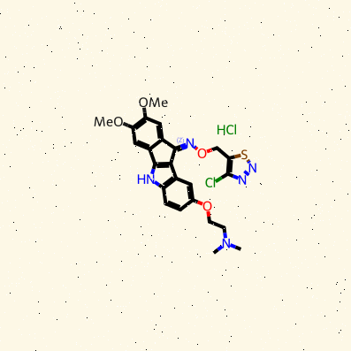 COc1cc2c(cc1OC)-c1[nH]c3ccc(OCCN(C)C)cc3c1/C2=N\OCc1snnc1Cl.Cl